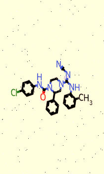 Cc1ccccc1N/C(=N/C#N)N1CCN(C(=O)Nc2ccc(Cl)cc2)C(c2ccccc2)C1